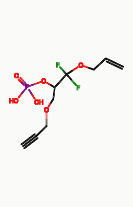 C#CCOCC(OP(=O)(O)O)C(F)(F)OCC=C